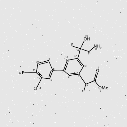 COC(=O)C(C)c1cc(-c2ccc(F)c(Cl)c2)nc(C(C)(O)CN)c1